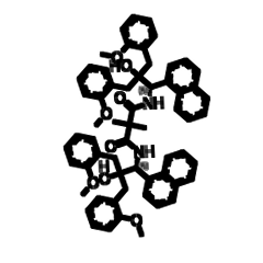 COc1ccccc1CC(O)(Cc1ccccc1OC)[C@@H](NC(=O)C(C)(C)C(=O)N[C@@H](c1cccc2ccccc12)C(O)(Cc1ccccc1OC)Cc1ccccc1OC)c1cccc2ccccc12